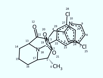 C[C@H]1CN(Cc2ccccn2)C(=O)C2CCCC1N2S(=O)(=O)c1cc(Cl)cc(Cl)c1